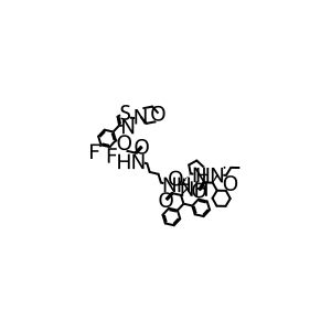 C[CH]C(=O)N[C@H](C(=O)N1CCC[C@H]1C(=O)N[C@H](C(=O)NCCCCNC(=O)COc1c(-c2csc(N3CCOCC3)n2)ccc(F)c1F)C(c1ccccc1)c1ccccc1)C1CCCCC1